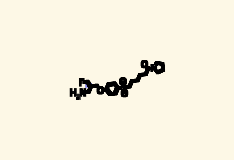 NC/C(=C\F)COc1ccc(S(=O)(=O)CCCCCC(=O)N2CCCC2)cc1